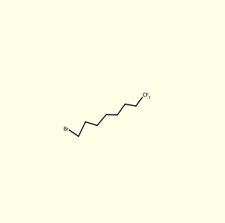 FC(F)(F)CCCCCCCBr